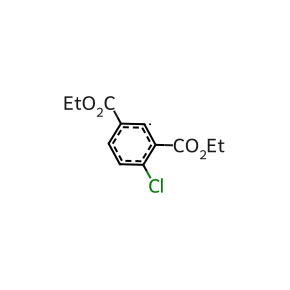 CCOC(=O)c1[c]c(C(=O)OCC)c(Cl)cc1